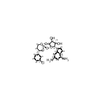 C[C@@]1(O)[C@H](O)C(O[P@@]2(=O)OCC[C@@H](c3cccc(Cl)c3)O2)O[C@H]1n1ccc2c(N)nc(N)nc21